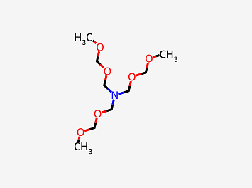 COCOCN(COCOC)COCOC